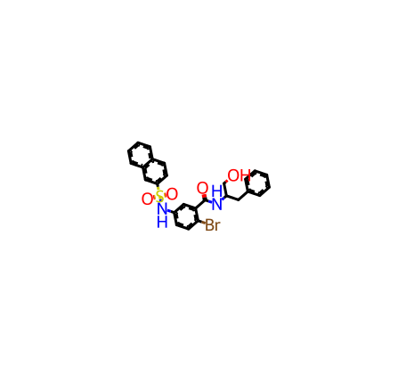 O=C(NC(CO)Cc1ccccc1)c1cc(NS(=O)(=O)c2ccc3ccccc3c2)ccc1Br